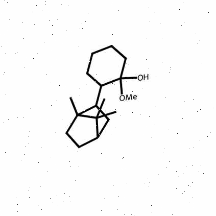 COC1(O)CCCCC1C1CC2CCC1(C)C2(C)C